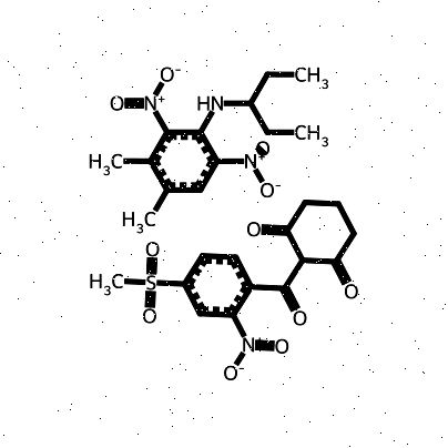 CCC(CC)Nc1c([N+](=O)[O-])cc(C)c(C)c1[N+](=O)[O-].CS(=O)(=O)c1ccc(C(=O)C2C(=O)CCCC2=O)c([N+](=O)[O-])c1